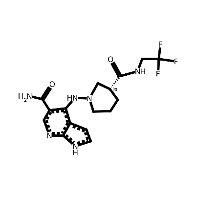 NC(=O)c1cnc2[nH]ccc2c1NN1CCC[C@@H](C(=O)NCC(F)(F)F)C1